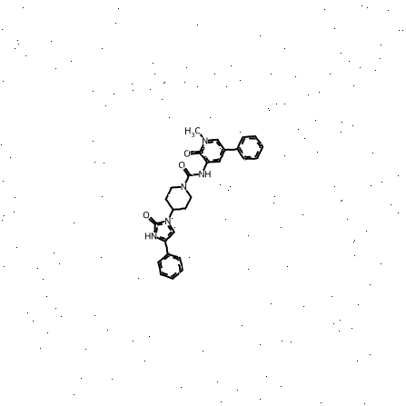 Cn1cc(-c2ccccc2)cc(NC(=O)N2CCC(n3cc(-c4ccccc4)[nH]c3=O)CC2)c1=O